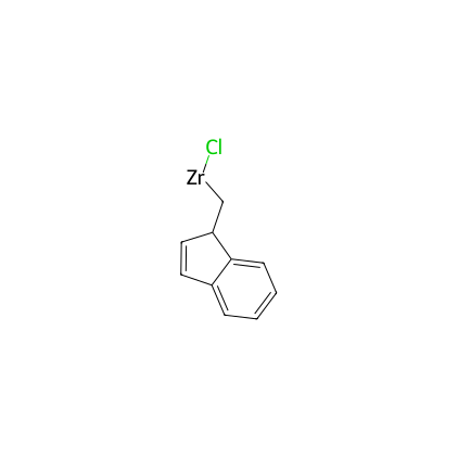 [Cl][Zr][CH2]C1C=Cc2ccccc21